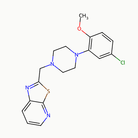 COc1ccc(Cl)cc1N1CCN(Cc2nc3cccnc3s2)CC1